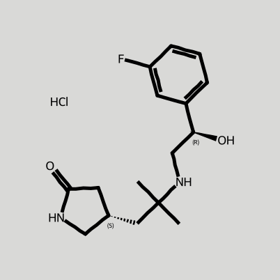 CC(C)(C[C@@H]1CNC(=O)C1)NC[C@H](O)c1cccc(F)c1.Cl